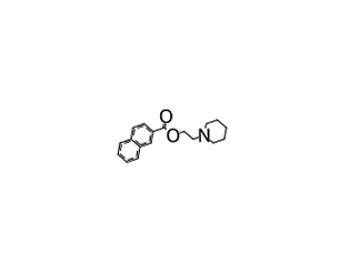 O=C(OCCN1CCCCC1)c1ccc2ccccc2c1